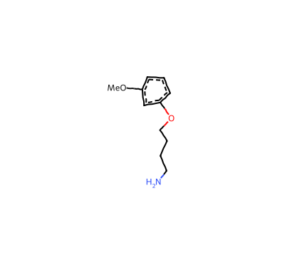 COc1cccc(OCCCCN)c1